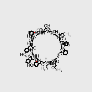 CCCC[C@H]1C(=O)N(C)CC(=O)N[C@@H](CC(=O)O)C(=O)N[C@@H](C(C)C)C(=O)N(C)[C@@H](Cc2ccccc2)C(=O)N[C@H]2Cc3ccc(O)cc3N(CC(=O)N[C@@H](Cc3c[nH]c4ccccc34)C(=O)NC(Cc3ccc(O)cc3)C(=O)N[C@@H](CCN)C(=O)N[C@H](C(=O)NCC(N)=O)CSCC(=O)N[C@@H](Cc3ccccc3)C(=O)N(C)[C@@H](Cc3ccccc3)C(=O)N1C)C2=O